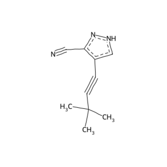 CC(C)(C)C#Cc1c[nH]nc1C#N